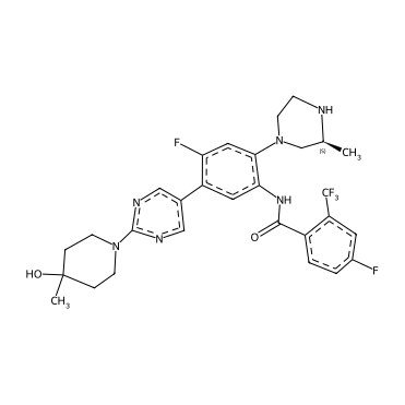 C[C@H]1CN(c2cc(F)c(-c3cnc(N4CCC(C)(O)CC4)nc3)cc2NC(=O)c2ccc(F)cc2C(F)(F)F)CCN1